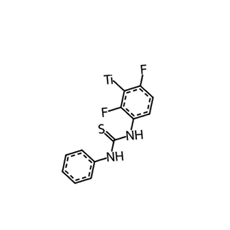 Fc1ccc(NC(=S)Nc2ccccc2)c(F)[c]1[Ti]